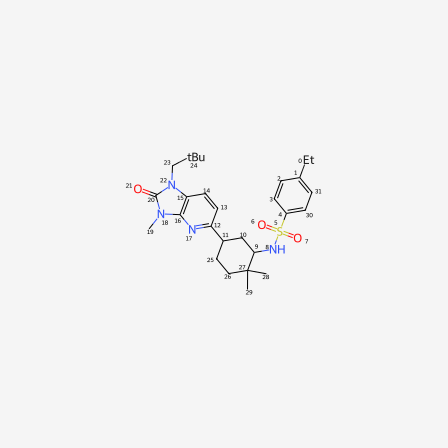 CCc1ccc(S(=O)(=O)NC2CC(c3ccc4c(n3)n(C)c(=O)n4CC(C)(C)C)CCC2(C)C)cc1